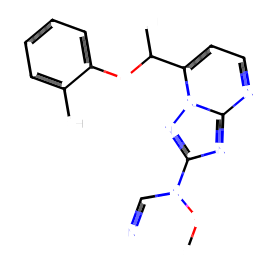 CON(C=N)c1nc2nccc(C(C)Oc3ccccc3C)n2n1